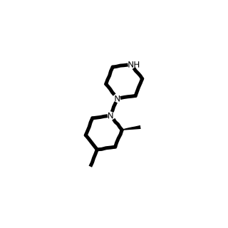 CC1CCN(N2CCNCC2)[C@@H](C)C1